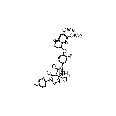 COc1cc2nccc(Oc3ccc(NC(=O)C4C(=O)N(c5ccc(F)cc5)C=NC4(C)Cl)cc3F)c2nc1OC